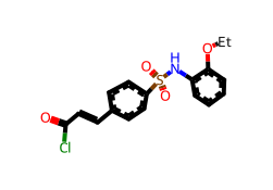 CCOc1ccccc1NS(=O)(=O)c1ccc(C=CC(=O)Cl)cc1